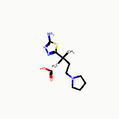 CC(C)(CCN1CCCC1)c1nnc(N)s1.O=CO